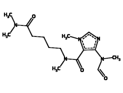 CN(C)C(=O)CCCCN(C)C(=O)c1c(N(C)C=O)ncn1C